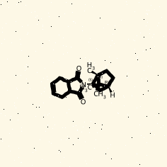 CC1(C)[C@@H]2CC[C@@]1(C)[C@@H](N1C(=O)C3CC=CCC3C1=O)C2